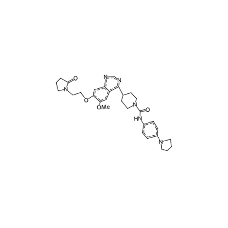 COc1cc2c(C3CCN(C(=O)Nc4ccc(N5CCCC5)cc4)CC3)ncnc2cc1OCCN1CCCC1=O